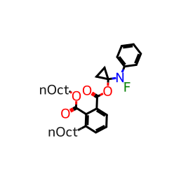 CCCCCCCCOC(=O)c1c(CCCCCCCC)cccc1C(=O)OC1(N(F)c2ccccc2)CC1